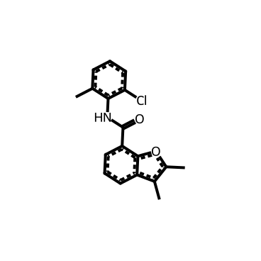 Cc1cccc(Cl)c1NC(=O)c1cccc2c(C)c(C)oc12